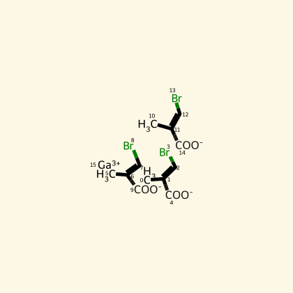 C/C(=C\Br)C(=O)[O-].C/C(=C\Br)C(=O)[O-].C/C(=C\Br)C(=O)[O-].[Ga+3]